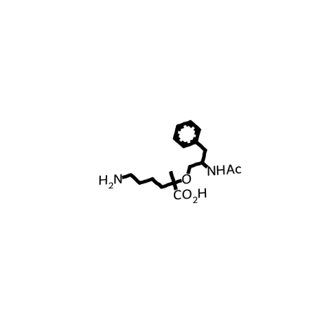 CC(=O)NC(COC(C)(CCCCN)C(=O)O)Cc1ccccc1